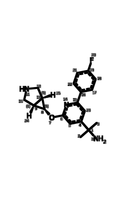 CC(C)(N)c1cc(O[C@H]2[C@@H]3CNC[C@@H]32)nc(-c2ccc(F)cc2)c1